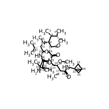 CC[C@H](C)[C@@H]([C@@H](CC(=O)N1CCC[C@H]1[C@H](OC)[C@@H](C)C(=O)NC12CC(C1)C2)OC)N(C)[C@H](C(=O)NC(=O)C(C)(C)N)C(C)C